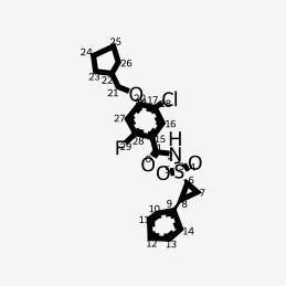 O=C(NS(=O)(=O)[C@@H]1C[C@H]1c1ccccc1)c1cc(Cl)c(OCC2CCCC2)cc1F